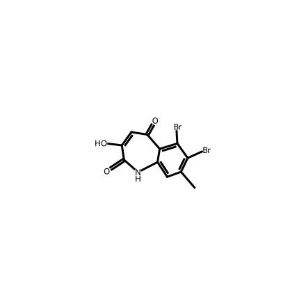 Cc1cc2[nH]c(=O)c(O)cc(=O)c2c(Br)c1Br